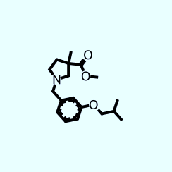 COC(=O)C1(C)CCN(Cc2cccc(OCC(C)C)c2)C1